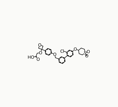 O=C(O)COC1(c2ccc(OCc3cccc(-c4ccc(OC5CCS(=O)(=O)CC5)cc4Cl)c3)cc2)COC1